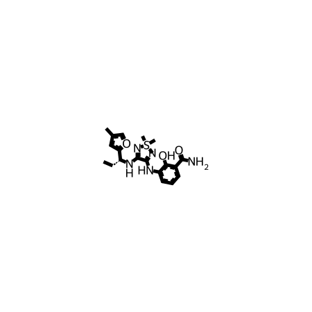 CC[C@@H](NC1=NS(C)(C)N=C1Nc1cccc(C(N)=O)c1O)c1cc(C)co1